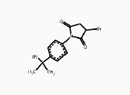 CC(C)C1CC(=O)N(c2ccc(C(C)(C)C(C)C)cc2)C1=O